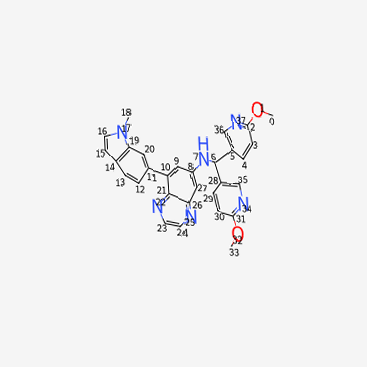 COc1ccc(C(Nc2cc(-c3ccc4ccn(C)c4c3)c3nccnc3c2)c2ccc(OC)nc2)cn1